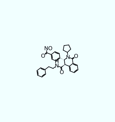 O=NC(=O)c1ccc([C@H]2[C@H](C(=O)NCCc3ccccc3)c3ccccc3C(=O)N2C2CCCC2)cc1